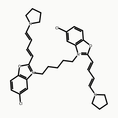 Clc1ccc2oc(C=CC=CN3CCCC3)[n+](CCCCC[n+]3c(C=CC=CN4CCCC4)oc4ccc(Cl)cc43)c2c1